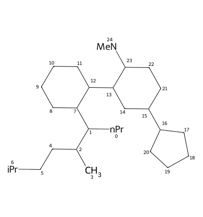 CCCC(C(C)CCC(C)C)C1CCCCC1C1CC(C2CCCC2)CCC1NC